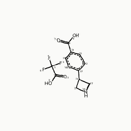 O=C(O)C(F)(F)F.O=C(O)c1ccc(C2CNC2)nc1